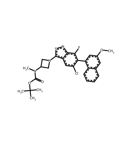 COc1cc(-c2c(Cl)cc3c(N4CC(N(C)C(=O)OC(C)(C)C)C4)snc3c2F)c2ccccc2c1